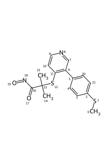 CSc1ccc(-c2cnccc2SC(C)(C)C(=O)N=O)cc1